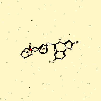 COCC(=O)N1C2CCC1CC(Cc1cccc(NC(=O)Nc3cc(C(C)(C)C)nn3-c3ccc(C)cc3)c1)C2